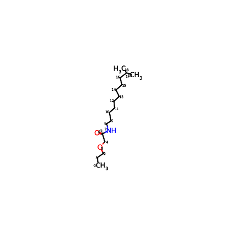 CCCOCC(=O)NCCCCCCCCCC(C)C